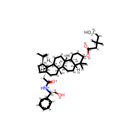 C=C(C)[C@@H]1CC[C@]2(CC(=O)N[C@H](CO)c3ccccc3)CC[C@]3(C)[C@H](CC[C@@H]4[C@@]5(C)CC[C@H](OC(=O)CC(C)(C)CC(=O)O)C(C)(C)[C@@H]5CC[C@]43C)[C@@H]12